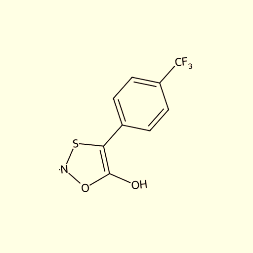 OC1=C(c2ccc(C(F)(F)F)cc2)S[N]O1